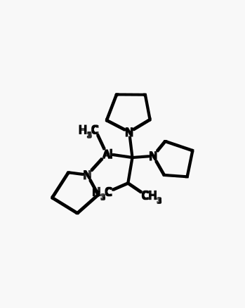 CC(C)[C](N1CCCC1)(N1CCCC1)[Al]([CH3])[N]1CCCC1